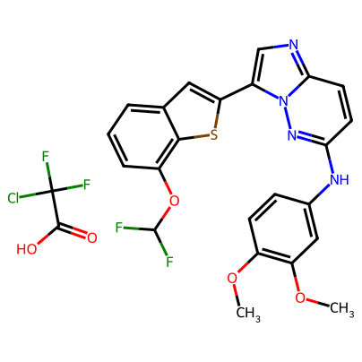 COc1ccc(Nc2ccc3ncc(-c4cc5cccc(OC(F)F)c5s4)n3n2)cc1OC.O=C(O)C(F)(F)Cl